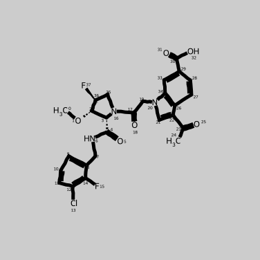 CO[C@H]1[C@@H](C(=O)NCc2cccc(Cl)c2F)N(C(=O)Cn2cc(C(C)=O)c3ccc(C(=O)O)cc32)C[C@@H]1F